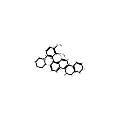 Cc1ccc(N2CCCCC2)c(-c2cccc3c4c(ccc23)C2=C(CCC=C2)CC4)c1C